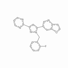 Fc1ccccc1Cn1nc(-c2ncccn2)cc1-c1cnc2ccoc2c1